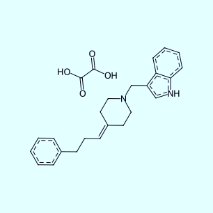 C(CCc1ccccc1)=C1CCN(Cc2c[nH]c3ccccc23)CC1.O=C(O)C(=O)O